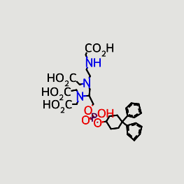 O=C(O)CNCCN(CC(=O)O)CC(COP(=O)(O)OC1CCC(c2ccccc2)(c2ccccc2)CC1)N(CC(=O)O)CC(=O)O